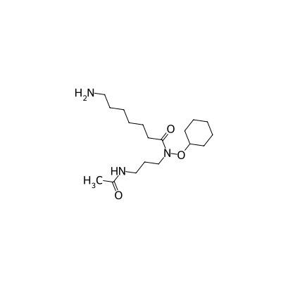 CC(=O)NCCCN(OC1CCCCC1)C(=O)CCCCCCN